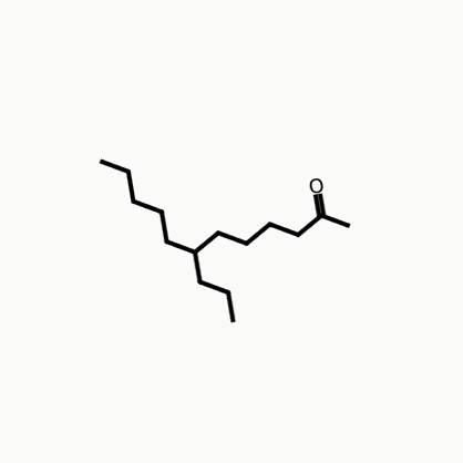 CCCCCC(CCC)CCCCC(C)=O